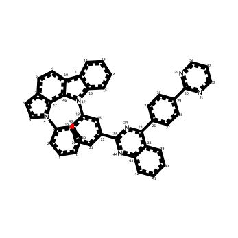 c1ccc(-n2ccc3ccc4c5ccccc5n(-c5cccc(-c6nc(-c7ccc(-c8ncccn8)cc7)c7ccccc7n6)c5)c4c32)cc1